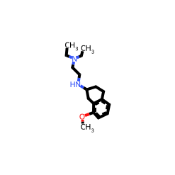 CCN(CC)CCNC1CCc2cccc(OC)c2C1